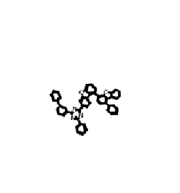 c1ccc(-c2cccc(-c3nc(-c4ccccc4)nc(-c4ccc5c(c4)oc4cccc(-c6ccc(-c7ccccc7)c7c6oc6ccccc67)c45)n3)c2)cc1